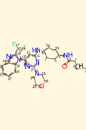 CCC(=O)N[C@H]1CC[C@H](Nc2cc(-n3c(C(F)F)nc4ccccc43)nc(N3CCOCC3)n2)CC1